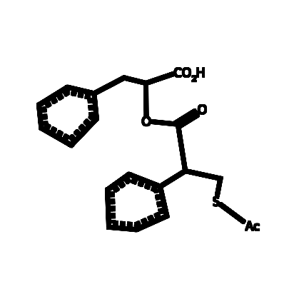 CC(=O)SCC(C(=O)OC(Cc1ccccc1)C(=O)O)c1ccccc1